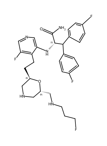 NC(=O)[C@@H](Nc1cncc(F)c1CC[C@@H]1CNC[C@@H](CNCCCF)O1)C(c1ccc(F)cc1)c1ccc(F)cc1